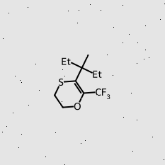 CCC(C)(CC)C1=C(C(F)(F)F)OCCS1